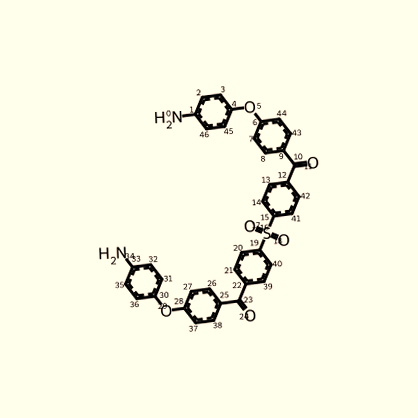 Nc1ccc(Oc2ccc(C(=O)c3ccc(S(=O)(=O)c4ccc(C(=O)c5ccc(Oc6ccc(N)cc6)cc5)cc4)cc3)cc2)cc1